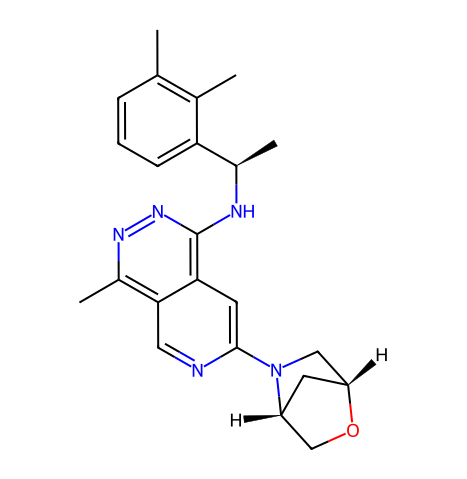 Cc1cccc([C@@H](C)Nc2nnc(C)c3cnc(N4C[C@H]5C[C@@H]4CO5)cc23)c1C